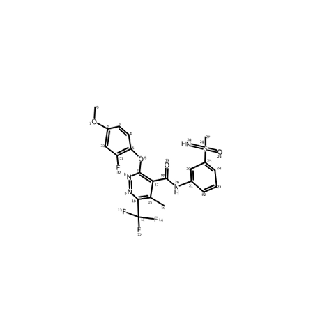 COc1ccc(Oc2nnc(C(F)(F)F)c(C)c2C(=O)Nc2cccc(S(C)(=N)=O)c2)c(F)c1